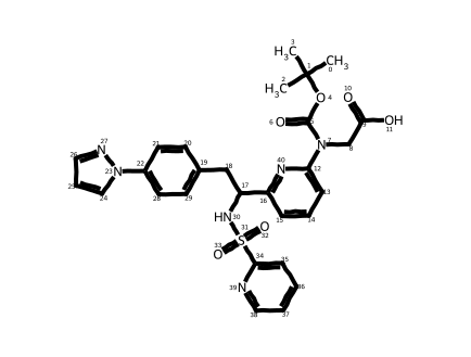 CC(C)(C)OC(=O)N(CC(=O)O)c1cccc(C(Cc2ccc(-n3cccn3)cc2)NS(=O)(=O)c2ccccn2)n1